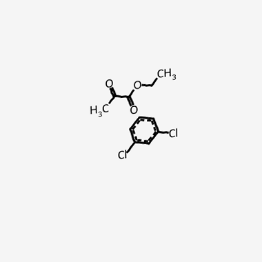 CCOC(=O)C(C)=O.Clc1cccc(Cl)c1